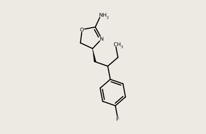 CCC(C[C@H]1COC(N)=N1)c1ccc(F)cc1